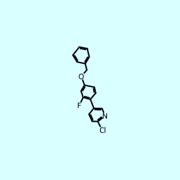 Fc1cc(OCc2ccccc2)ccc1-c1ccc(Cl)nc1